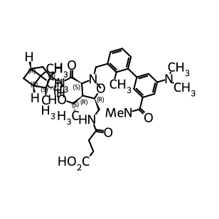 CNC(=O)c1cc(-c2cccc(CN3O[C@@H](CNC(=O)CCC(=O)O)[C@@H]([C@H](C)O)[C@H]3C(=O)N[C@H]3C[C@H]4C[C@@H]([C@@H]3C)C4(C)C)c2C)cc(N(C)C)c1